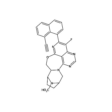 C#Cc1cccc2cccc(-c3nc4c5c(ncnc5c3F)N3CC5CCC(C3CO4)N5C(=O)O)c12